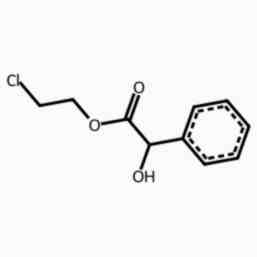 O=C(OCCCl)C(O)c1ccccc1